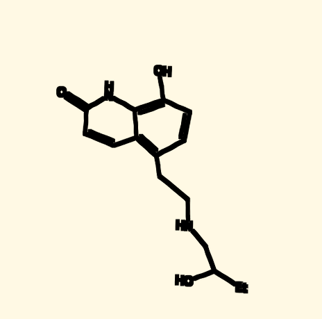 CCC(O)CNCCc1ccc(O)c2[nH]c(=O)ccc12